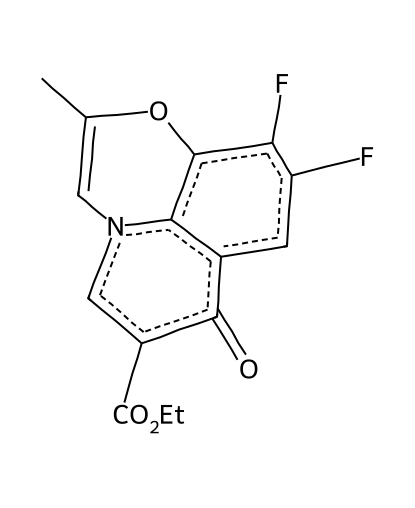 CCOC(=O)c1cn2c3c(c(F)c(F)cc3c1=O)OC(C)=C2